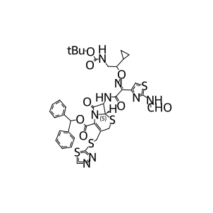 CC(C)(C)OC(=O)NCC(ON=C(C(=O)NC1C(=O)N2C(C(=O)OC(c3ccccc3)c3ccccc3)=C(CSc3nncs3)CS[C@@H]12)c1csc(NC=O)n1)C1CC1